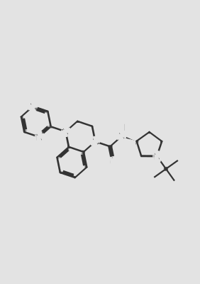 CC(C)(C)N1CC[C@H](NC(=O)N2CCN(c3cnccn3)c3ccccc32)C1